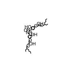 CCCCC(CC)COCC(O)COc1ccc(-c2nc(OC)nc(-c3ccc(OCC(O)COCC(CC)CCCC)cc3O)n2)c(O)c1